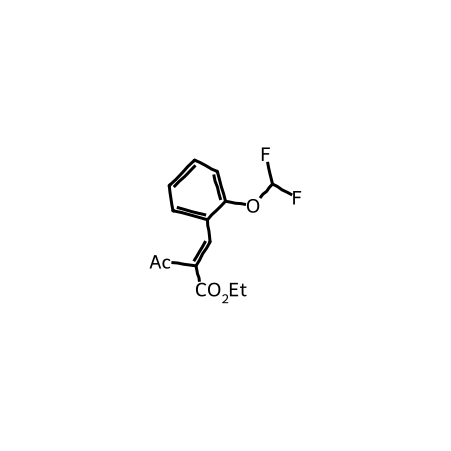 CCOC(=O)/C(=C/c1ccccc1OC(F)F)C(C)=O